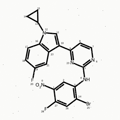 O=[N+]([O-])c1cc(Nc2nccc(-c3cn(C4CC4)c4ccc(F)cc34)n2)c(Br)cc1F